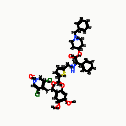 COc1ccc([C@H](Cc2c(Cl)c[n+]([O-])cc2Cl)OC(=O)c2ccc(CNC(C(=O)OC3CCN(Cc4ccccc4)CC3)c3ccccc3)s2)cc1OC